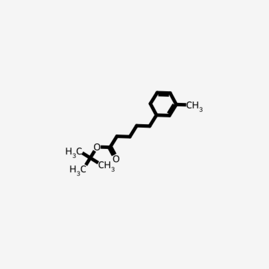 CC1=CC(CCCCC(=O)OC(C)(C)C)CC=C1